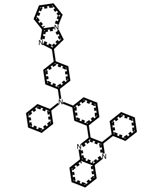 c1ccc(-c2nc3ccccc3nc2-c2cccc(N(c3ccccc3)c3ccc(-c4cn5ccccc5n4)cc3)c2)cc1